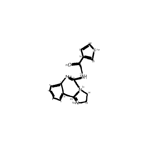 O=C(NC1=Nc2ccccc2C2=NCCN12)c1ccsc1